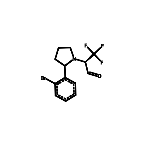 O=C[C@@H](N1CCCC1c1ccccc1Br)C(F)(F)F